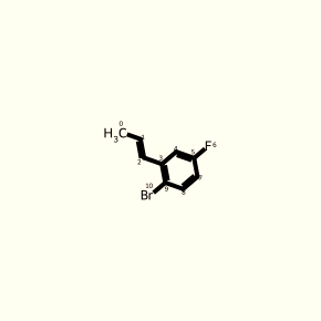 CC=Cc1cc(F)ccc1Br